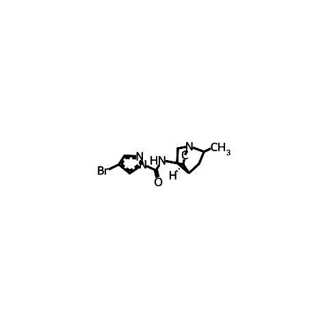 CC1CC2CCN1C[C@@H]2NC(=O)n1cc(Br)cn1